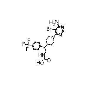 Nc1ncnc(N2CCC(C(CNC(=O)O)c3ccc(C(F)(F)F)cc3)CC2)c1Br